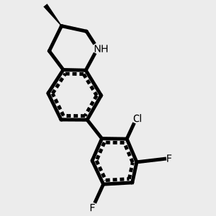 C[C@H]1CNc2cc(-c3cc(F)cc(F)c3Cl)ccc2C1